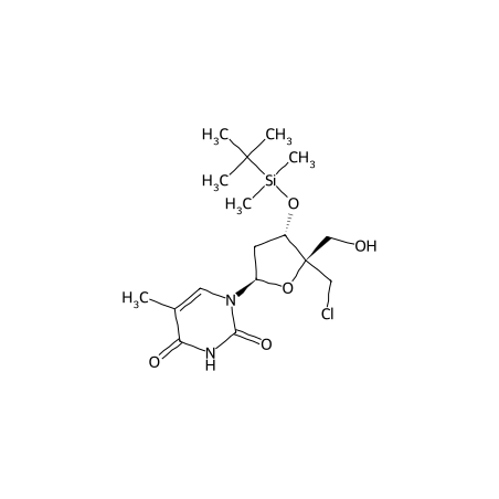 Cc1cn([C@H]2C[C@H](O[Si](C)(C)C(C)(C)C)[C@](CO)(CCl)O2)c(=O)[nH]c1=O